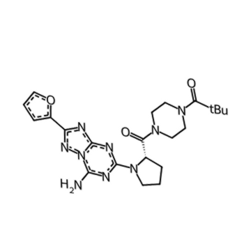 CC(C)(C)C(=O)N1CCN(C(=O)[C@@H]2CCCN2c2nc(N)n3nc(-c4ccco4)nc3n2)CC1